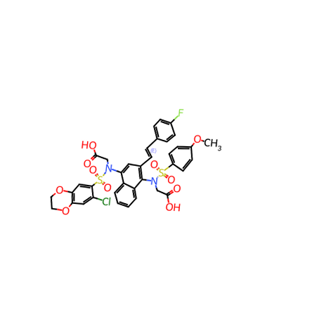 COc1ccc(S(=O)(=O)N(CC(=O)O)c2c(/C=C/c3ccc(F)cc3)cc(N(CC(=O)O)S(=O)(=O)c3cc4c(cc3Cl)OCCO4)c3ccccc23)cc1